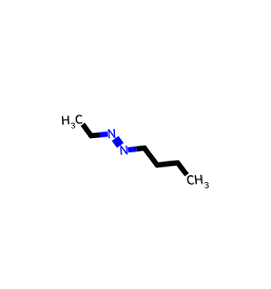 CCCC/N=N/CC